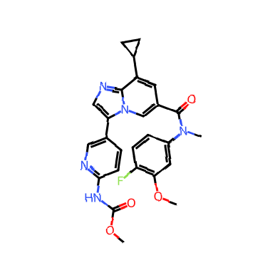 COC(=O)Nc1ccc(-c2cnc3c(C4CC4)cc(C(=O)N(C)c4ccc(F)c(OC)c4)cn23)cn1